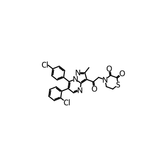 Cc1nn2c(-c3ccc(Cl)cc3)c(-c3ccccc3Cl)cnc2c1C(=O)CN1CCSC(=O)C1=O